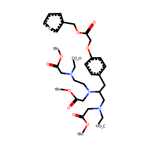 CC(C)(C)OC(=O)CN(CCN(CC(=O)OC(C)(C)C)C(Cc1ccc(OCC(=O)OCc2ccccc2)cc1)CN(CC(=O)O)CC(=O)OC(C)(C)C)CC(=O)O